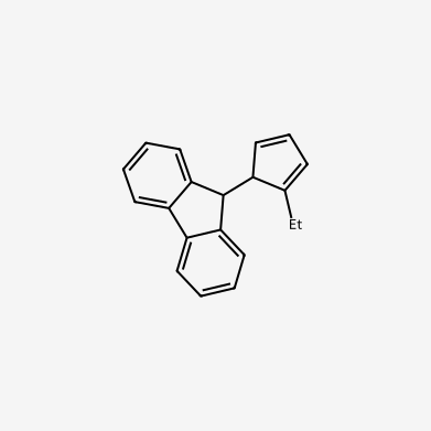 CCC1=CC=CC1C1c2ccccc2-c2ccccc21